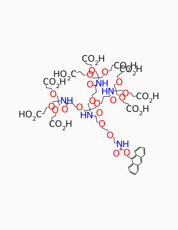 O=C(O)CCOCC(COCCC(=O)O)(COCCC(=O)O)NC(=O)CCOCC(COCCC(=O)NC(COCCC(=O)O)(COCCC(=O)O)COCCC(=O)O)(COCCC(=O)NC(COCCC(=O)O)(COCCC(=O)O)COCCC(=O)O)NC(=O)COCCOCCNC(=O)OCc1c2ccccc2cc2ccccc12